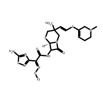 CCON=C(C(=O)NC1C(=O)N2CC(C=CSC3=CCCN(C)C3)(C(=O)O)CS[C@H]12)c1nsc(N)n1